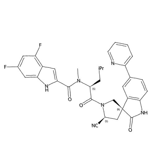 CC(C)C[C@@H](C(=O)N1C[C@]2(C[C@H]1C#N)C(=O)Nc1ccc(-c3ccccn3)cc12)N(C)C(=O)c1cc2c(F)cc(F)cc2[nH]1